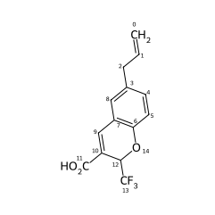 C=CCc1ccc2c(c1)C=C(C(=O)O)C(C(F)(F)F)O2